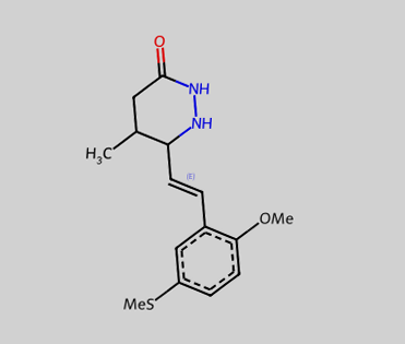 COc1ccc(SC)cc1/C=C/C1NNC(=O)CC1C